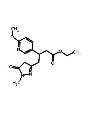 CCOC(=O)CC(CC1=NN(C)C(=O)C1)c1ccc(OC)nc1